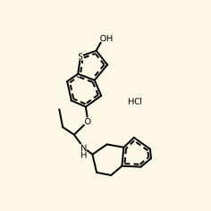 CCC(NC1CCc2ccccc2C1)Oc1ccc2sc(O)cc2c1.Cl